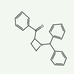 O=C(c1ccccc1)C1CCN1C(c1ccccc1)c1ccccc1